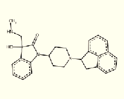 CNCC1(O)C(=O)N(C2CCN(C3Cc4cccc5cccc3c45)CC2)c2ccccc21